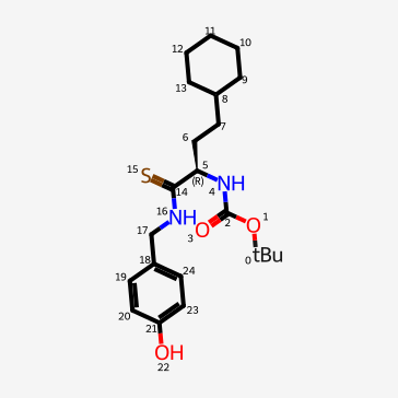 CC(C)(C)OC(=O)N[C@H](CCC1CCCCC1)C(=S)NCc1ccc(O)cc1